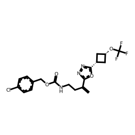 C=C(CCNC(=O)OCc1ccc(Cl)cc1)c1nnc([C@H]2C[C@@H](OC(F)(F)F)C2)o1